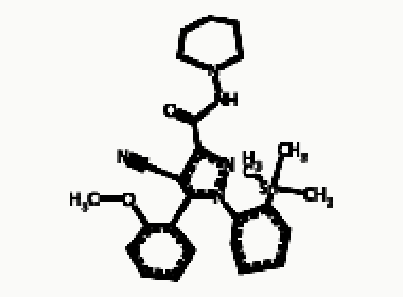 COc1ccccc1-c1c(C#N)c(C(=O)NN2CCCCC2)nn1-c1cccc[c]1[Sn]([CH3])([CH3])[CH3]